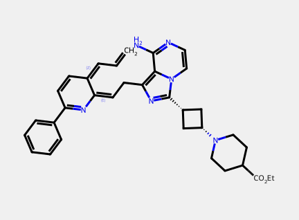 C=C/C=c1/ccc(-c2ccccc2)n/c1=C/Cc1nc([C@H]2C[C@@H](N3CCC(C(=O)OCC)CC3)C2)n2ccnc(N)c12